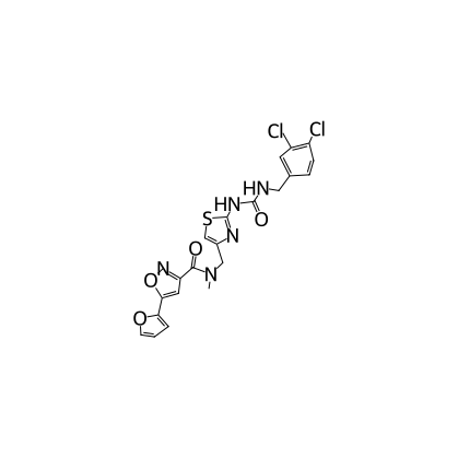 CN(Cc1csc(NC(=O)NCc2ccc(Cl)c(Cl)c2)n1)C(=O)c1cc(-c2ccco2)on1